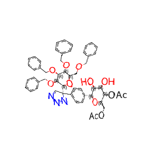 CC(=O)OC[C@H]1O[C@H](c2ccc(C3([C@H]4O[C@H](COCc5ccccc5)[C@@H](OCc5ccccc5)[C@H](OCc5ccccc5)[C@@H]4OCc4ccccc4)C=NN=N3)cc2)[C@@H](O)[C@@H](O)[C@H]1OC(C)=O